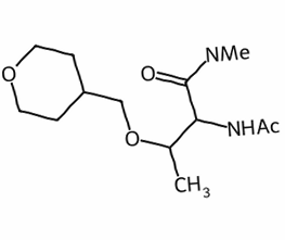 CNC(=O)C(NC(C)=O)C(C)OCC1CCOCC1